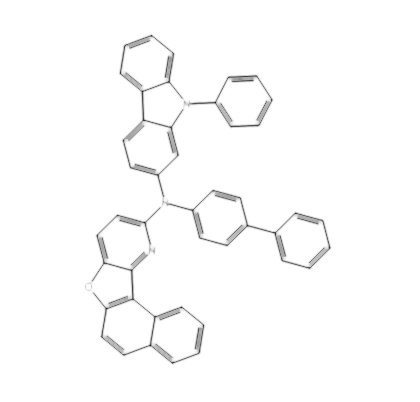 c1ccc(-c2ccc(N(c3ccc4c5ccccc5n(-c5ccccc5)c4c3)c3ccc4oc5ccc6ccccc6c5c4n3)cc2)cc1